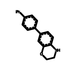 CC(C)c1ccc(-c2ccc3c(c2)OCCN3)cc1